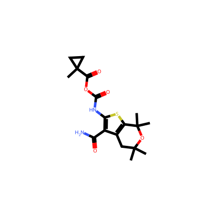 CC1(C)Cc2c(sc(NC(=O)OC(=O)C3(C)CC3)c2C(N)=O)C(C)(C)O1